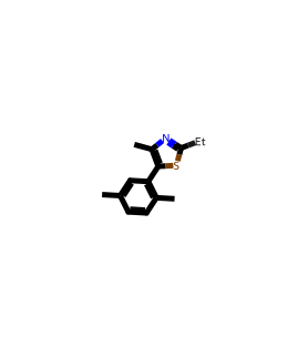 CCc1nc(C)c(-c2cc(C)ccc2C)s1